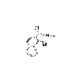 CCCCCCC(Cl)c1ccc2ccccc2c1Br